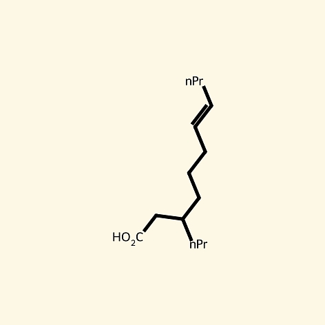 CCCC=CCCCC(CCC)CC(=O)O